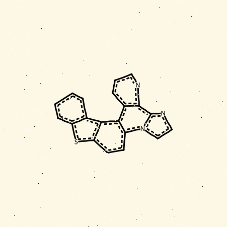 c1ccc2c(c1)sc1ccc3c(c4cccnc4c4nccn34)c12